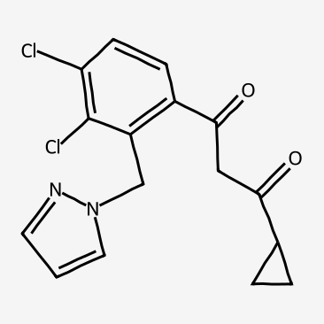 O=C(CC(=O)C1CC1)c1ccc(Cl)c(Cl)c1Cn1cccn1